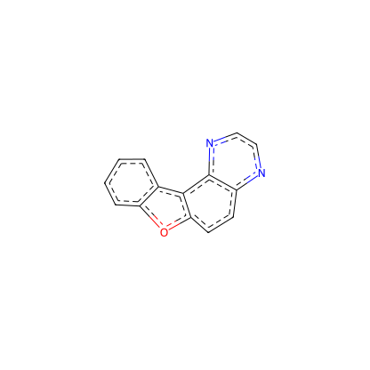 c1ccc2c(c1)oc1ccc3nccnc3c12